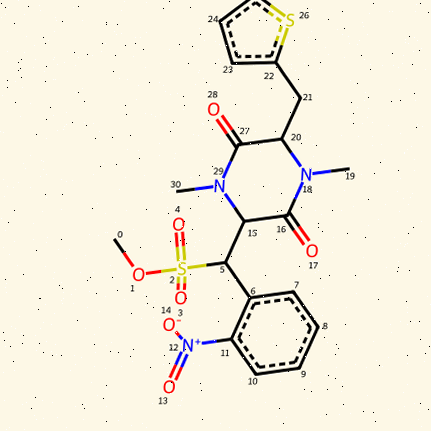 COS(=O)(=O)C(c1ccccc1[N+](=O)[O-])C1C(=O)N(C)C(Cc2cccs2)C(=O)N1C